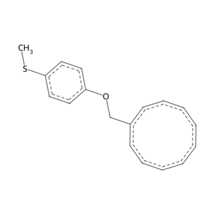 CSc1ccc(OCc2ccccccccc2)cc1